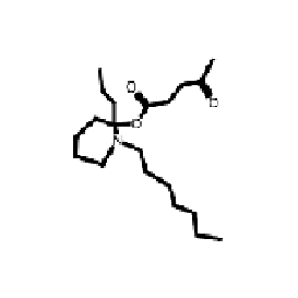 CCCCCCCN1CCCCC1(CCC)OC(=O)CCC(C)=O